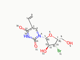 C=Cc1cn([C@@H]2O[C@H](CO)[C@H](Br)[C@H]2O)c(=O)[nH]c1=O